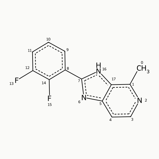 Cc1nccc2nc(-c3cccc(F)c3F)[nH]c12